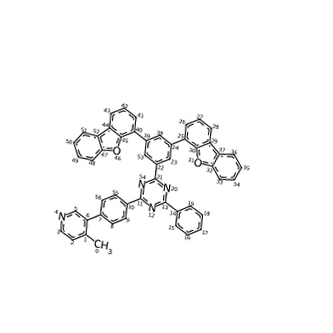 Cc1ccncc1-c1ccc(-c2nc(-c3ccccc3)nc(-c3cc(-c4cccc5c4oc4ccccc45)cc(-c4cccc5c4oc4ccccc45)c3)n2)cc1